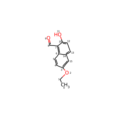 CCOc1ccc2c(C=O)c(O)ccc2c1